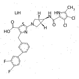 Cc1[nH]c(C(=O)N[C@H]2[C@@H]3CN(c4nc(Cc5cccc(-c6ccc(F)c(F)c6)c5)c(C(=O)O)s4)C[C@@H]32)c(Cl)c1Cl.[LiH]